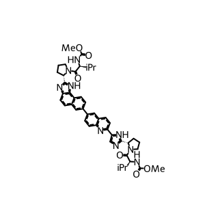 COC(=O)N[C@H](C(=O)N1CCC[C@H]1c1ncc(-c2ccc3cc(-c4ccc5c(ccc6nc([C@@H]7CCCN7C(=O)[C@@H](NC(=O)OC)C(C)C)[nH]c65)c4)ccc3n2)[nH]1)C(C)C